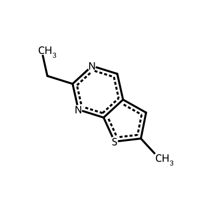 CCc1ncc2cc(C)sc2n1